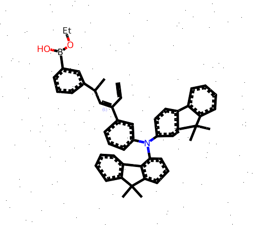 C=C/C(=C\C(C)c1cccc(B(O)OCC)c1)c1cccc(N(c2ccc3c(c2)C(C)(C)c2ccccc2-3)c2cccc3c2-c2ccccc2C3(C)C)c1